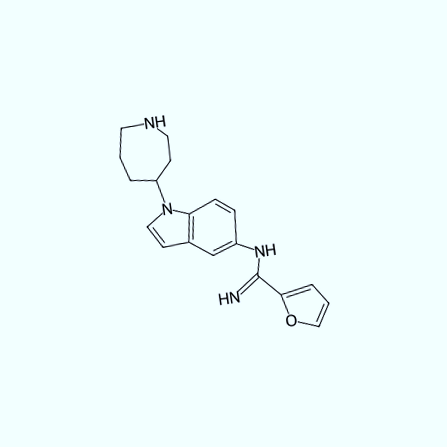 N=C(Nc1ccc2c(ccn2C2CCCNCC2)c1)c1ccco1